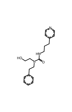 O=C(NCCCc1ccncc1)N(CCO)CCc1ccccc1